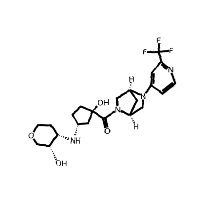 O=C(N1C[C@@H]2C[C@H]1CN2c1ccnc(C(F)(F)F)c1)[C@@]1(O)CC[C@@H](N[C@H]2CCOC[C@H]2O)C1